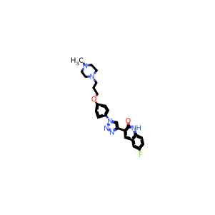 CN1CCN(CCCOc2ccc(-n3cc(-c4cc5cc(F)ccc5[nH]c4=O)nn3)cc2)CC1